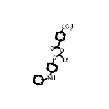 CCC(OC(=O)c1ccc(C(=O)O)cc1)Oc1ccc(Nc2ccccc2)cc1